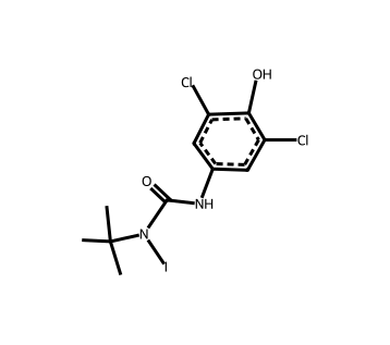 CC(C)(C)N(I)C(=O)Nc1cc(Cl)c(O)c(Cl)c1